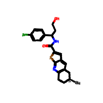 CC(C)(C)[C@H]1CCc2nc3sc(C(=O)NC(CCO)c4ccc(Br)cc4)cc3cc2C1